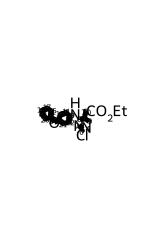 CCOC(=O)Cc1cnc(Cl)nc1Nc1ccc(Oc2ccccc2)cc1